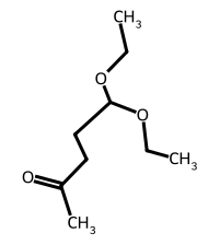 CCOC(CCC(C)=O)OCC